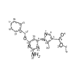 CCOC(=O)c1cnn(-c2cc(OCc3ccccc3)nc(N)n2)c1C